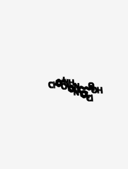 C[C@@H](NC(=O)c1ccc2nc(-c3ccc(Cl)cc3)c(CCCCC(=O)O)nc2c1)c1ccc(Cl)cc1